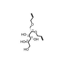 C=CCOC[C@H](OCC=C)[C@@H](O)[C@H](O)[C@H](O)CO